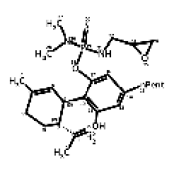 C=C(C)[C@@H]1CCC(C)=C[C@H]1c1c(O)cc(CCCCC)cc1OP(=S)(NCC1CO1)N(C)C